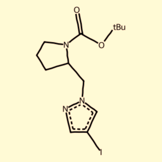 CC(C)(C)OC(=O)N1CCCC1Cn1cc(I)cn1